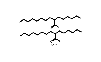 CCCCCCCCC(CCCCCC)C(=O)[O-].CCCCCCCCC(CCCCCC)C(=O)[O-].[Sn+2]